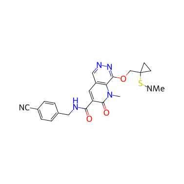 CNSC1(COc2nncc3cc(C(=O)NCc4ccc(C#N)cc4)c(=O)n(C)c23)CC1